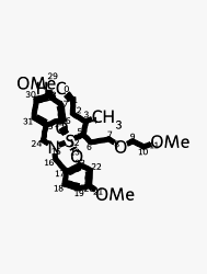 C=CCC(C)C(CCOCCOC)S(=O)(=O)N(Cc1ccc(OC)cc1)Cc1ccc(OC)cc1